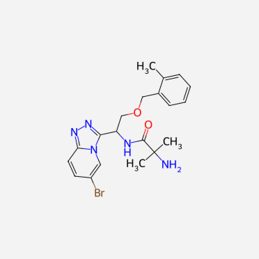 Cc1ccccc1COCC(NC(=O)C(C)(C)N)c1nnc2ccc(Br)cn12